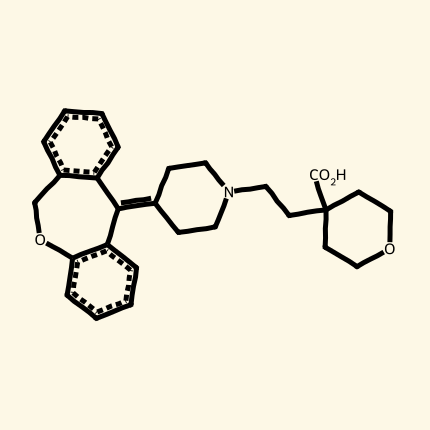 O=C(O)C1(CCN2CCC(=C3c4ccccc4COc4ccccc43)CC2)CCOCC1